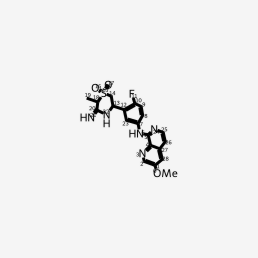 COc1cnc2c(Nc3ccc(F)c(C4CS(=O)(=O)C(C)C(=N)N4)c3)nccc2c1